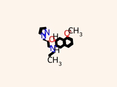 CCCN1C[C@@H](Cn2cccn2)O[C@@H]2Cc3c(cccc3OC)C[C@H]21